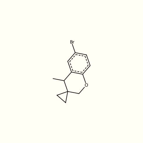 CC1c2cc(Br)ccc2OCC12CC2